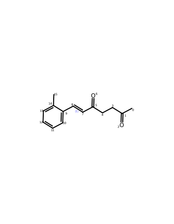 CC(=O)CCC(=O)/C=C/c1ccccc1C